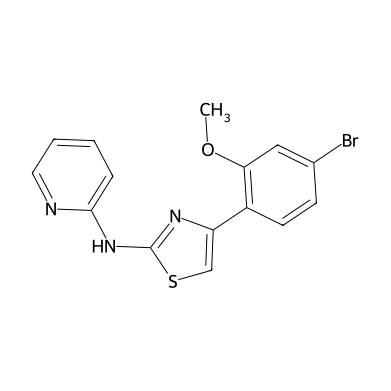 COc1cc(Br)ccc1-c1csc(Nc2ccccn2)n1